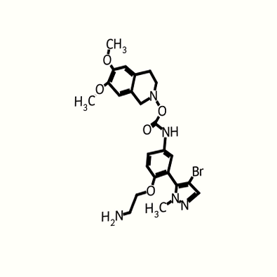 COc1cc2c(cc1OC)CN(OC(=O)Nc1ccc(OCCN)c(-c3c(Br)cnn3C)c1)CC2